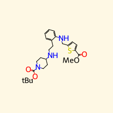 COC(=O)c1ccc(CNc2ccccc2CCNC2CCN(C(=O)OC(C)(C)C)CC2)s1